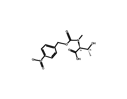 C[C@@H](O)[C@@H](C(=O)O)N(C)C(=O)OCc1ccc([N+](=O)[O-])cc1